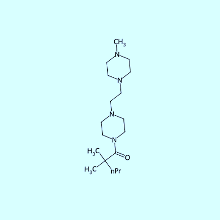 CCCC(C)(C)C(=O)N1CCN(CCN2CCN(C)CC2)CC1